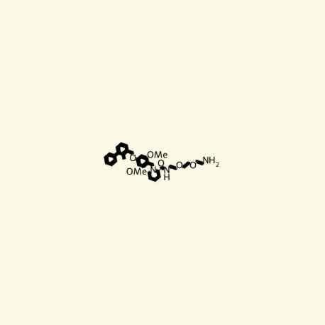 COc1cc(OCc2cccc(-c3ccccc3)c2C)cc(OC)c1CN1CCCC[C@H]1C(=O)NCCOCCOCCN